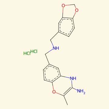 CC1=C(N)Nc2cc(CNCc3ccc4c(c3)OCO4)ccc2O1.Cl.Cl